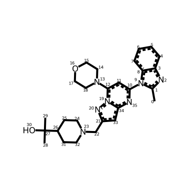 Cc1nc2ccccc2n1-c1cc(N2CCOCC2)n2nc(CN3CCC(C(C)(C)O)CC3)cc2n1